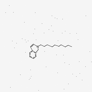 CCCCCCCCCCN1C=Cc2ccccc2C1